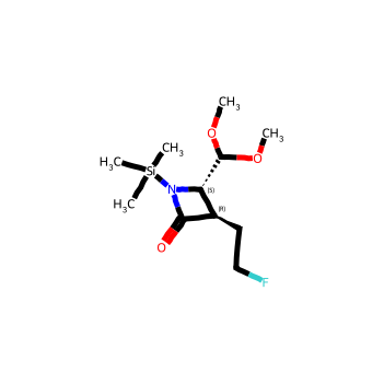 COC(OC)[C@@H]1[C@@H](CCF)C(=O)N1[Si](C)(C)C